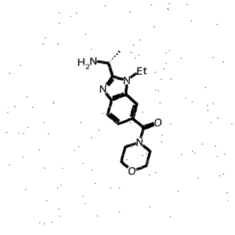 CCn1c([C@@H](C)N)nc2ccc(C(=O)N3CCOCC3)cc21